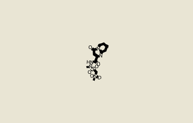 CN(NC(=O)c1cc(=O)n2c(n1)CCCC2)S(=O)(=O)CS(C)(=O)=O